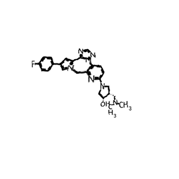 CN(C)C[C@H]1CN(c2ccc3c(n2)Cn2cc(-c4ccc(F)cc4)cc2-c2ncnn2-3)C[C@H]1O